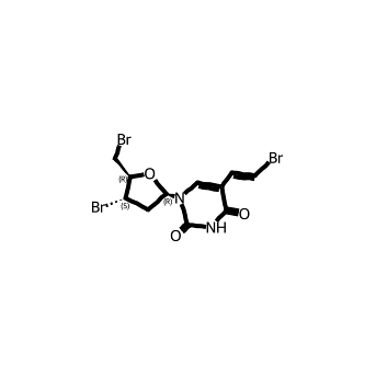 O=c1[nH]c(=O)n([C@H]2C[C@H](Br)[C@@H](CBr)O2)cc1C=CBr